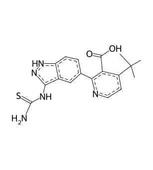 CC(C)(C)c1ccnc(-c2ccc3[nH]nc(NC(N)=S)c3c2)c1C(=O)O